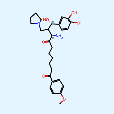 COc1ccc(C(=O)CCCCCC(=O)[C@H](N)C(CN2CCCC2)[C@H](O)c2ccc(O)c(O)c2)cc1